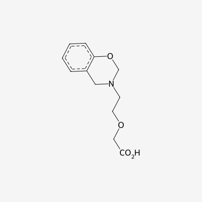 O=C(O)COCCN1COc2ccccc2C1